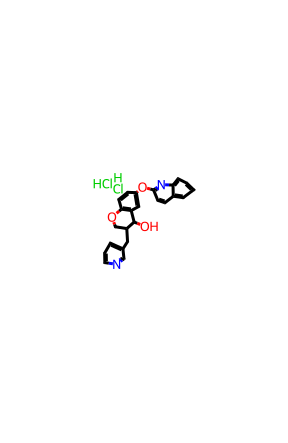 Cl.Cl.OC1c2cc(Oc3ccc4ccccc4n3)ccc2OCC1Cc1cccnc1